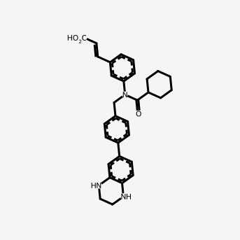 O=C(O)C=Cc1cccc(N(Cc2ccc(-c3ccc4c(c3)NCCN4)cc2)C(=O)C2CCCCC2)c1